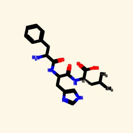 CC(C)C[C@H](NC(=O)C(Cc1c[nH]cn1)NC(=O)C(N)Cc1ccccc1)C(=O)O